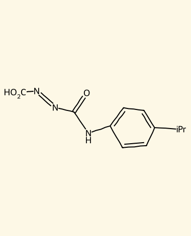 CC(C)c1ccc(NC(=O)/N=N/C(=O)O)cc1